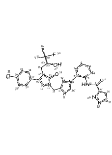 O=C(Nc1ncccc1-n1cnc(Cn2nc(-c3ccc(Cl)cc3)n(C[C@H](O)C(F)(F)F)c2=O)n1)c1csnn1